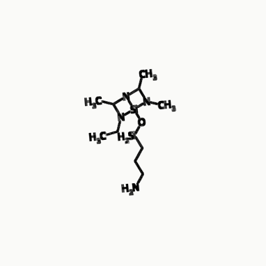 CCN1C(C)N2C(C)N(C)[Si]12O[SiH2]CCCN